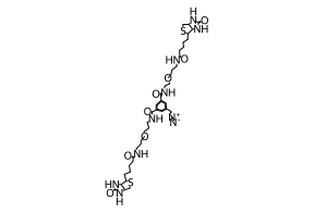 [N-]=[N+]=Cc1cc(C(=O)NCCCOCCCNC(=O)CCCCC2SCC3NC(=O)NC32)cc(C(=O)NCCOCCCNC(=O)CCCCC2SCC3NC(=O)NC32)c1